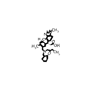 CCC1CN(Cc2cc([C@@H](CC(=O)O)c3ccc4c(nnn4C)c3C)ccc2C)Cc2ccccc2O1